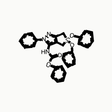 O=C(Nc1c2c(nn1-c1ccccc1)CS(Oc1ccccc1)(Oc1ccccc1)C2)Oc1ccccc1